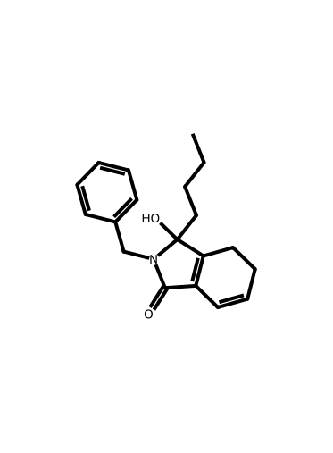 CCCCC1(O)C2=C(C=CCC2)C(=O)N1Cc1ccccc1